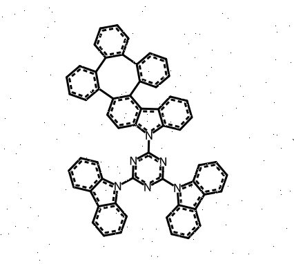 c1ccc2c(c1)-c1ccccc1-c1ccc3c(c1-c1ccccc1-2)c1ccccc1n3-c1nc(-n2c3ccccc3c3ccccc32)nc(-n2c3ccccc3c3ccccc32)n1